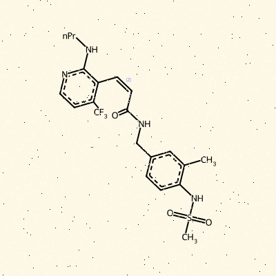 CCCNc1nccc(C(F)(F)F)c1/C=C\C(=O)NCc1ccc(NS(C)(=O)=O)c(C)c1